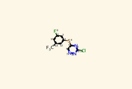 Fc1cc(Sc2cnnc(Cl)n2)cc(C(F)(F)F)c1